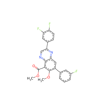 COC(=O)c1c(OC)c(-c2cccc(F)c2)cc2nc(-c3ccc(F)c(F)c3)cnc12